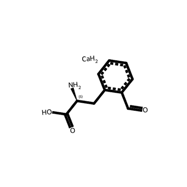 N[C@@H](Cc1ccccc1C=O)C(=O)O.[CaH2]